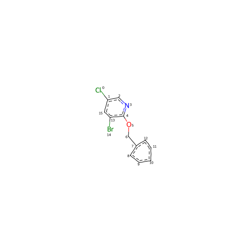 Clc1cnc(OCc2ccccc2)c(Br)c1